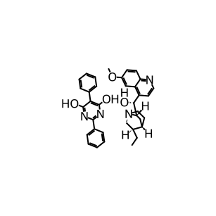 CC[C@H]1C[N@]2CC[C@H]1C[C@H]2[C@H](O)c1ccnc2ccc(OC)cc12.Oc1nc(-c2ccccc2)nc(O)c1-c1ccccc1